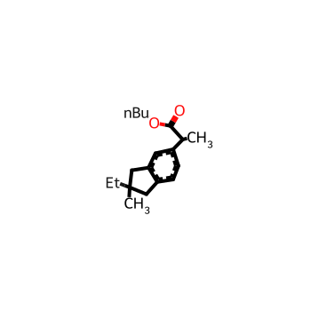 CCCCOC(=O)C(C)c1ccc2c(c1)CC(C)(CC)C2